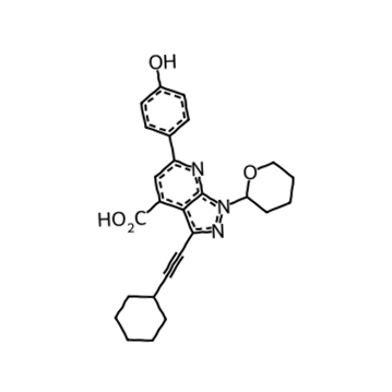 O=C(O)c1cc(-c2ccc(O)cc2)nc2c1c(C#CC1CCCCC1)nn2C1CCCCO1